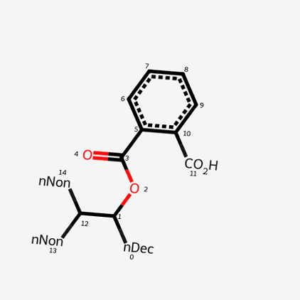 CCCCCCCCCCC(OC(=O)c1ccccc1C(=O)O)C(CCCCCCCCC)CCCCCCCCC